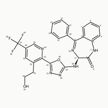 O=C1Nc2ccccc2C(c2ccccc2)=N[C@@H]1Nc1nnc(-c2ncc(C(F)(F)F)cc2CCO)o1